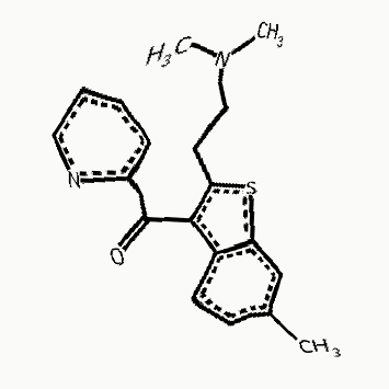 Cc1ccc2c(C(=O)c3ccccn3)c(CCN(C)C)sc2c1